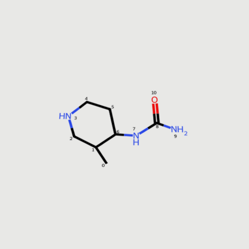 CC1CNCCC1NC(N)=O